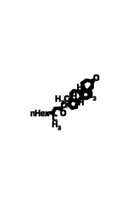 CCCCCCC(C)CC(=O)O[C@H]1CC[C@H]2[C@@H]3CCC4=CC(=O)CC[C@]4(C)[C@H]3CC[C@]12C